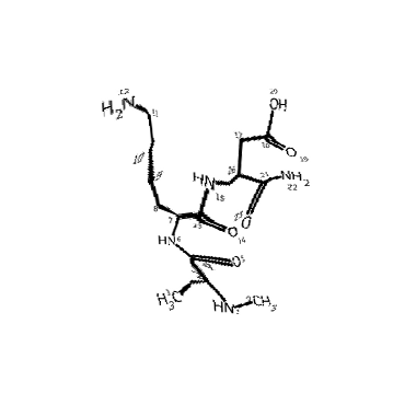 CN[C@@H](C)C(=O)N[C@@H](CCCCN)C(=O)NC(CC(=O)O)C(N)=O